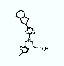 Cc1ccc(CN(CCC(=O)O)c2nc(C3CC4CCCCC4C3)cs2)s1